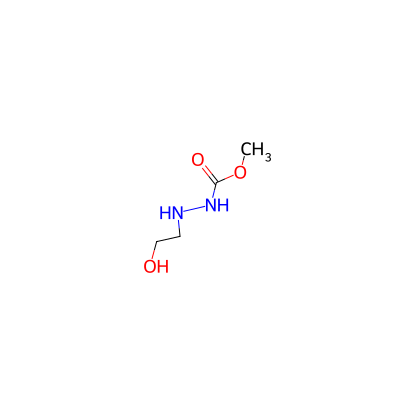 COC(=O)NNCCO